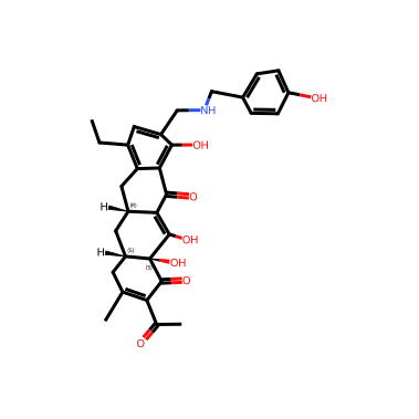 CCc1cc(CNCc2ccc(O)cc2)c(O)c2c1C[C@H]1C[C@H]3CC(C)=C(C(C)=O)C(=O)[C@@]3(O)C(O)=C1C2=O